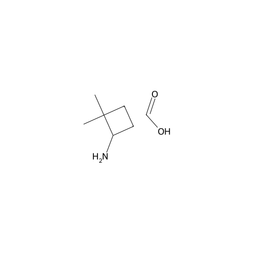 CC1(C)CCC1N.O=CO